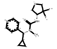 CN(C(=O)N[C@@H]1COCC1(F)F)[C@@H](c1ccncc1)C1CC1